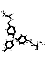 CCOC(C)OCc1ccc(N(c2ccc(C)cc2)c2ccc(COC(C)OCC)cc2)cc1